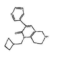 O=c1c(-c2cccnc2)cc2c(n1CC1CCC1)CCNC2